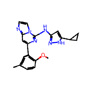 COc1ccc(C)cc1-c1cc2nccn2c(Nc2cc(C3CC3)[nH]n2)n1